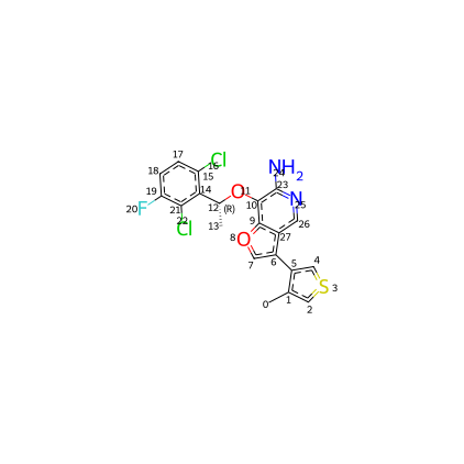 Cc1cscc1-c1coc2c(O[C@H](C)c3c(Cl)ccc(F)c3Cl)c(N)ncc12